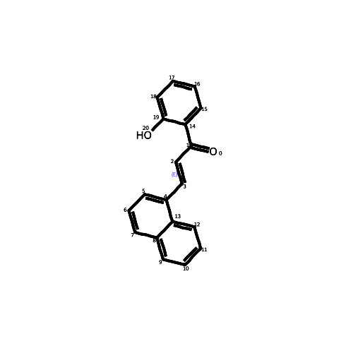 O=C(/C=C/c1cccc2ccccc12)c1ccccc1O